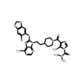 CN(N)C(=O)n1cnc(C(=O)N2CCC(CCn3c(Sc4cc5c(cc4Br)OCO5)nc4c(N)ncnc43)CC2)c1N